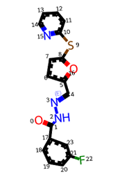 O=C(N/N=C/c1ccc(Sc2ccccn2)o1)c1cccc(F)c1